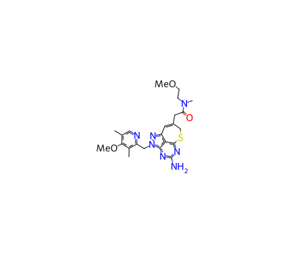 COCCN(C)C(=O)CC1=Cc2nn(Cc3ncc(C)c(OC)c3C)c3nc(N)nc(c23)SC1